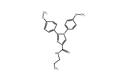 CCCNC(=O)c1cn(-c2ccc(OC)cc2)c(-c2ccc(OC)cc2)n1